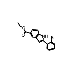 CCOC(=O)c1ccc2[nH]c(-c3ccccc3Br)cc2c1